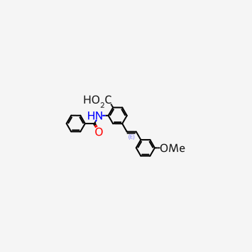 COc1cccc(/C=C/c2ccc(C(=O)O)c(NC(=O)c3ccccc3)c2)c1